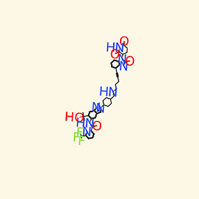 Cn1c(=O)n(C2CCC(=O)NC2=O)c2cccc(C#CCCCNCC3CCC(n4cc5cc(NC(=O)c6cccc(C(F)(F)F)n6)c(C(C)(C)O)cc5n4)CC3)c21